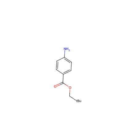 CC(C)(C)COC(=O)c1ccc(N)cc1